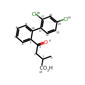 CC(CC(=O)c1ccccc1-c1ccc(Cl)cc1Cl)C(=O)O